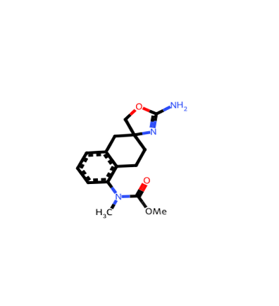 COC(=O)N(C)c1cccc2c1CCC1(COC(N)=N1)C2